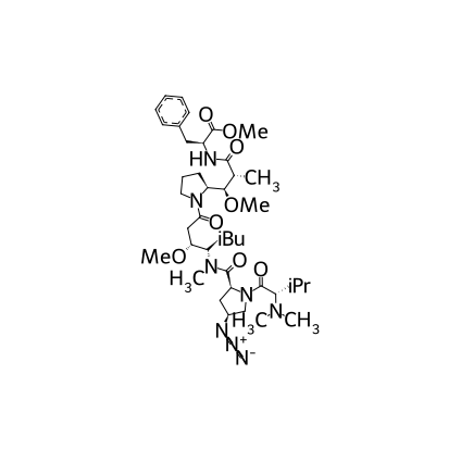 CC[C@H](C)[C@@H]([C@@H](CC(=O)N1CCC[C@H]1[C@H](OC)[C@@H](C)C(=O)N[C@@H](Cc1ccccc1)C(=O)OC)OC)N(C)C(=O)[C@@H]1C[C@H](N=[N+]=[N-])CN1C(=O)[C@H](C(C)C)N(C)C